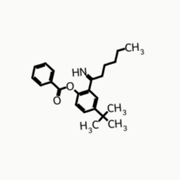 CCCCCC(=N)c1cc(C(C)(C)C)ccc1OC(=O)c1ccccc1